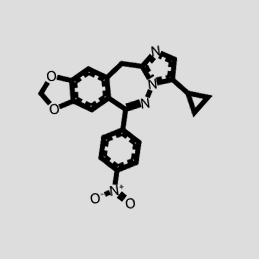 O=[N+]([O-])c1ccc(C2=Nn3c(C4CC4)cnc3Cc3cc4c(cc32)OCO4)cc1